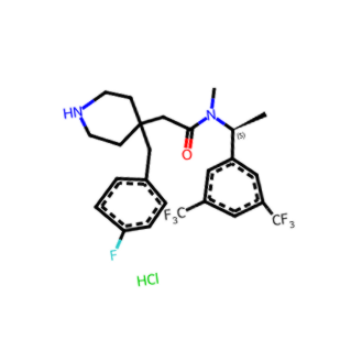 C[C@@H](c1cc(C(F)(F)F)cc(C(F)(F)F)c1)N(C)C(=O)CC1(Cc2ccc(F)cc2)CCNCC1.Cl